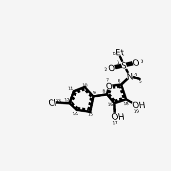 CCS(=O)(=O)N(C)c1oc(-c2ccc(Cl)cc2)c(O)c1O